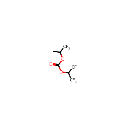 CC(OC(=O)OC(C(F)(F)F)C(F)(F)F)C(F)(F)F